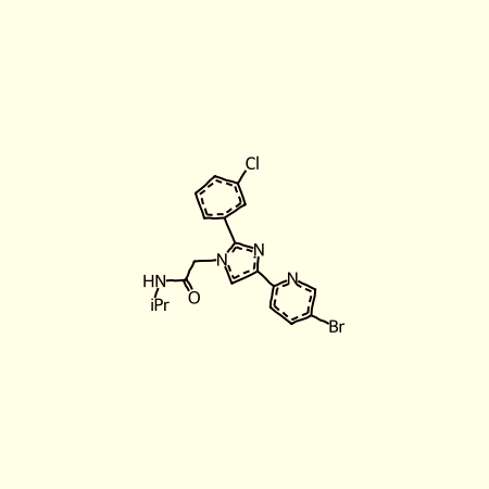 CC(C)NC(=O)Cn1cc(-c2ccc(Br)cn2)nc1-c1cccc(Cl)c1